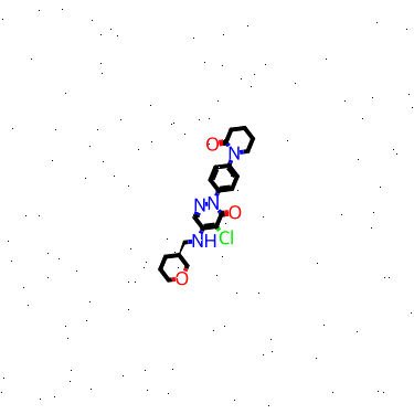 O=C1CCCCN1c1ccc(-n2ncc(NC[C@@H]3CCCOC3)c(Cl)c2=O)cc1